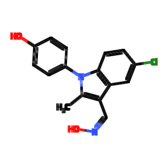 Cc1c(/C=N\O)c2cc(Cl)ccc2n1-c1ccc(O)cc1